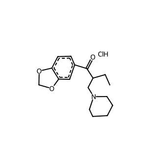 CCC(CN1CCCCC1)C(=O)c1ccc2c(c1)OCO2.Cl